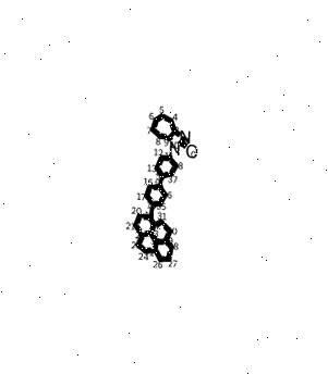 O=c1nc2cccccc-2n1-c1ccc(-c2ccc(-c3ccc4ccc5cccc6ccc3c4c56)cc2)cc1